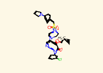 CC1(COc2c(N3CCN(S(=O)(=O)Cc4ccc(N5CCCC5)cc4)CC3)cnn(-c3cccc(Cl)c3)c2=O)CC1